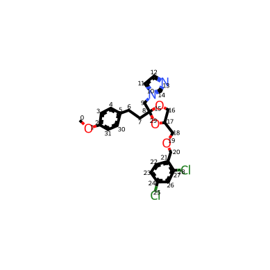 COc1ccc(CCC2(Cn3ccnc3)OCC(COCc3ccc(Cl)cc3Cl)O2)cc1